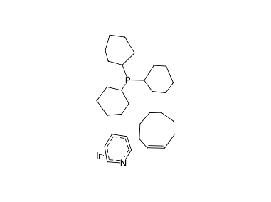 C1=CCCC=CCC1.C1CCC(P(C2CCCCC2)C2CCCCC2)CC1.[Ir].c1ccncc1